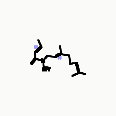 C=C(/C=C/C)N(C/C=C(\C)CCC=C(C)C)CCC